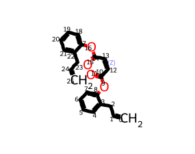 C=CCc1ccccc1OC(=O)/C=C\C(=O)Oc1ccccc1CC=C